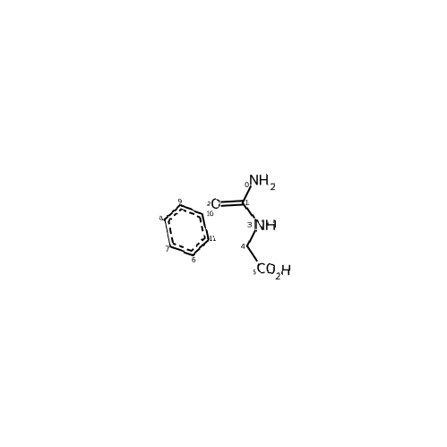 NC(=O)NCC(=O)O.c1ccccc1